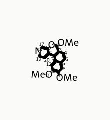 COC(=O)c1ccc2cc(OC)c(OC)cc2c1-c1ccncc1